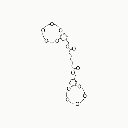 O=C(CCCCCC(=O)OCc1ccc2c(c1)OCCOCCOCCOCCO2)OCc1ccc2c(c1)OCCOCCOCCOCCO2